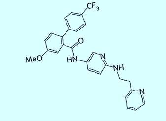 COc1ccc(-c2ccc(C(F)(F)F)cc2)c(C(=O)Nc2ccc(NCCc3ccccn3)nc2)c1